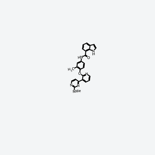 CNc1nccc(-c2cccnc2Oc2ccc(NC(=O)c3cccc4cc[nH]c34)cc2C)n1